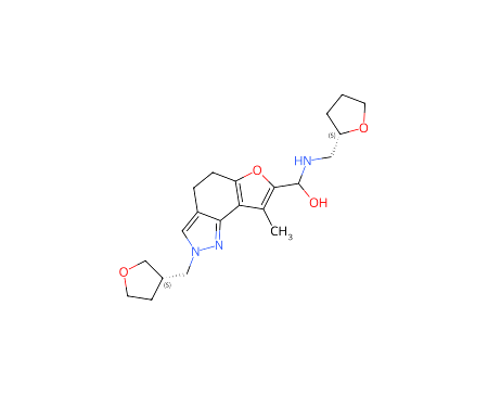 Cc1c(C(O)NC[C@@H]2CCCO2)oc2c1-c1nn(C[C@@H]3CCOC3)cc1CC2